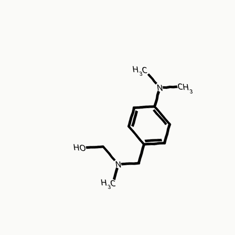 CN(CO)Cc1ccc(N(C)C)cc1